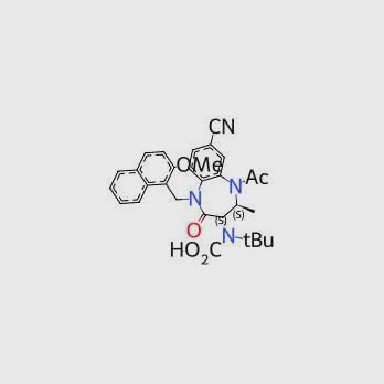 COc1ccc2ccccc2c1CN1C(=O)[C@@H](N(C(=O)O)C(C)(C)C)[C@H](C)N(C(C)=O)c2cc(C#N)ccc21